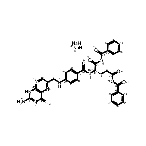 Nc1nc(=O)c2nc(CNc3ccc(C(=O)N[C@@H](CCC(=O)OC(=O)c4ccccc4)C(=O)OC(=O)c4ccccc4)cc3)cnc2[nH]1.[NaH].[NaH]